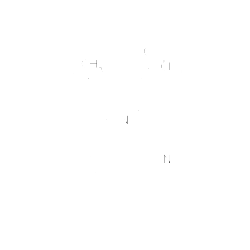 CC1(C)c2cc3ccc2-c2c(cccc21)N(c1cc(-n2c4ccccc4c4ccccc42)ccc1-c1cccc2ccccc12)c1ccc2c(c1)C3(C)c1ccccc1-2